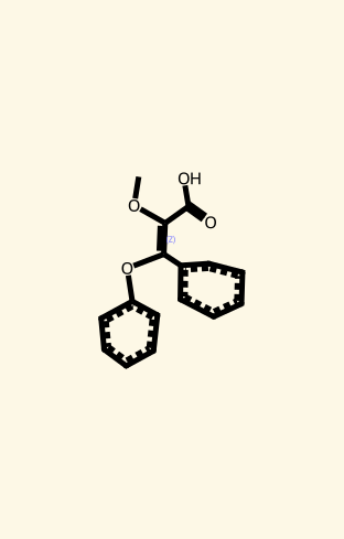 CO/C(C(=O)O)=C(\Oc1ccccc1)c1ccccc1